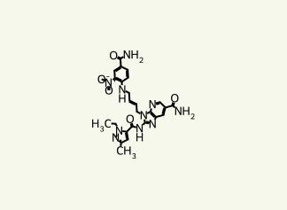 CCn1nc(C)cc1C(=O)Nc1nc2cc(C(N)=O)cnc2n1C/C=C/CNc1ccc(C(N)=O)cc1[N+](=O)[O-]